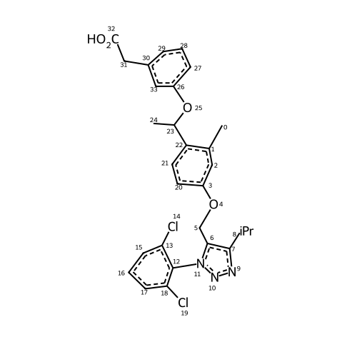 Cc1cc(OCc2c(C(C)C)nnn2-c2c(Cl)cccc2Cl)ccc1C(C)Oc1cccc(CC(=O)O)c1